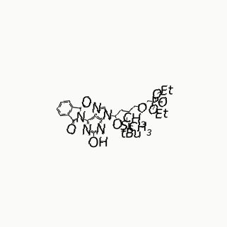 CCOP(=O)(COCCCC(O[Si](C)(C)C(C)(C)C)n1cnc2c(N3C(=O)c4ccccc4C3=O)nc(O)nc21)OCC